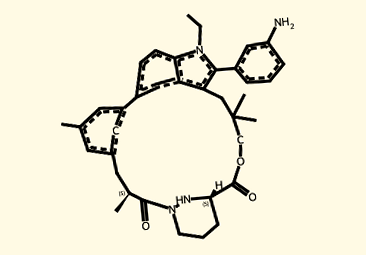 CCn1c(-c2cccc(N)c2)c2c3cc(ccc31)-c1cc(C)cc(c1)C[C@H](C)C(=O)N1CCC[C@H](N1)C(=O)OCC(C)(C)C2